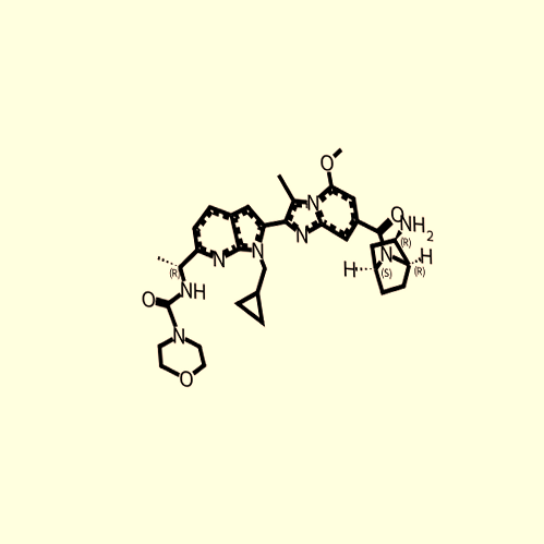 COc1cc(C(=O)N2[C@H]3CC[C@@H]2[C@H](N)C3)cc2nc(-c3cc4ccc([C@@H](C)NC(=O)N5CCOCC5)nc4n3CC3CC3)c(C)n12